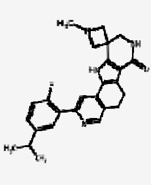 CC(C)c1ccc(F)c(-c2cc3c(cn2)CCc2c-3[nH]c3c2C(=O)NCC32CN(C)C2)c1